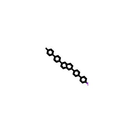 Cc1ccc(-c2ccc(-c3ccc4cc(-c5ccc(-c6ccc(I)cc6)cc5)ccc4c3)cc2)cc1